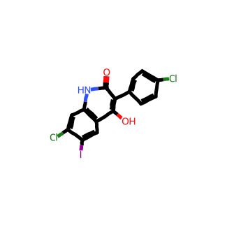 O=c1[nH]c2cc(Cl)c(I)cc2c(O)c1-c1ccc(Cl)cc1